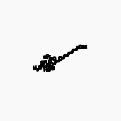 CCCCCCCCCCCCCCCCCOCC(COP(=O)(O)CCN(C)C)OC(=O)CCC